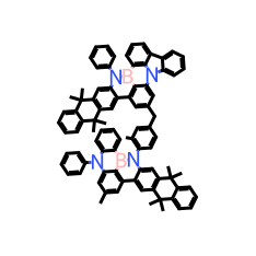 Cc1cc2c3c(c1)N(c1ccccc1)c1ccccc1B3N(c1ccc(Cc3cc4c5c(c3)-n3c6ccccc6c6cccc(c63)B5N(c3ccccc3)c3cc5c(cc3-4)C(C)(C)c3ccccc3C5(C)C)cc1C)c1cc3c(cc1-2)C(C)(C)c1ccccc1C3(C)C